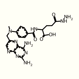 CN(Cc1cnc2nc(N)nc(N)c2n1)c1ccc(C(=O)NC(CCC(=O)NN)C(=O)O)cc1